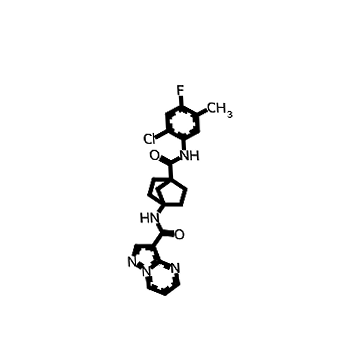 Cc1cc(NC(=O)C23CCC(NC(=O)c4cnn5cccnc45)(CC2)C3)c(Cl)cc1F